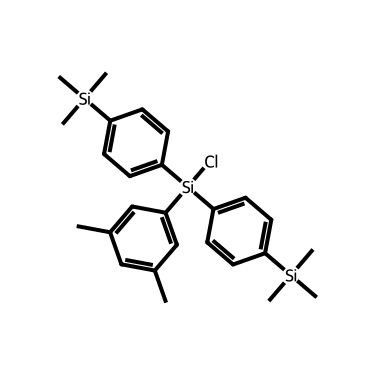 Cc1cc(C)cc([Si](Cl)(c2ccc([Si](C)(C)C)cc2)c2ccc([Si](C)(C)C)cc2)c1